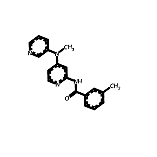 Cc1cccc(C(=O)Nc2cc(N(C)c3cccnc3)ccn2)c1